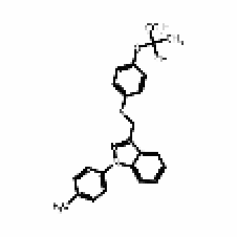 CC(C)(Oc1ccc(SCc2nn(-c3ccc(C(F)(F)F)cc3)c3ccccc23)cc1)C(=O)O